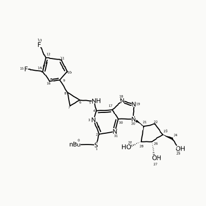 CCCCSc1nc(NC2CC2c2ccc(F)c(F)c2)c2nnn([C@H]3C[C@@H](CO)[C@H](O)[C@@H]3O)c2n1